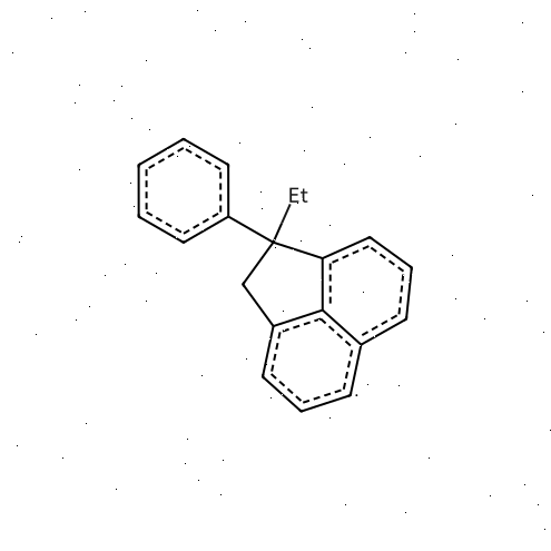 CCC1(c2ccccc2)Cc2cc[c]c3cccc1c23